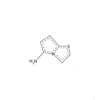 Nc1ccc2sccn12